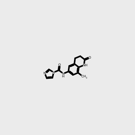 Cc1cc(NC(=O)n2ccnc2)cc2c1NC(=O)CC2